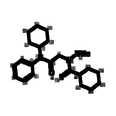 CNN(CC(=O)N(c1ccccc1)C1CCCCC1)C(=S)C1CCCCC1